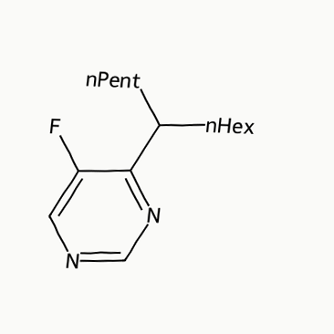 CCCCCCC(CCCCC)c1ncncc1F